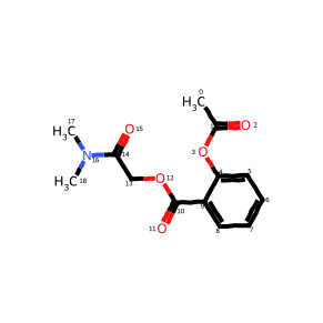 CC(=O)Oc1ccccc1C(=O)OCC(=O)N(C)C